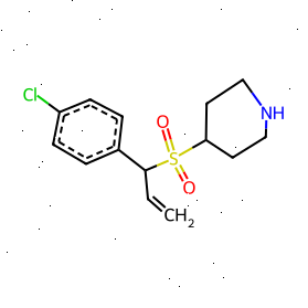 C=CC(c1ccc(Cl)cc1)S(=O)(=O)C1CCNCC1